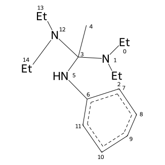 CCN(CC)C(C)(Nc1ccccc1)N(CC)CC